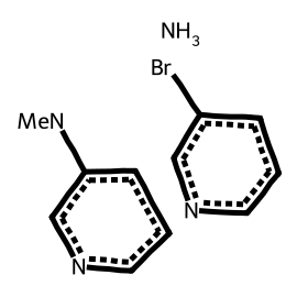 Brc1cccnc1.CNc1cccnc1.N